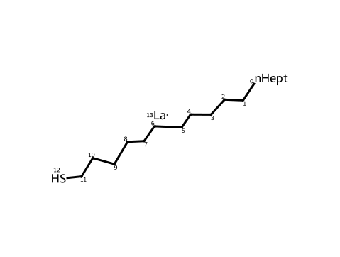 CCCCCCCCCCCCCCCCCCS.[La]